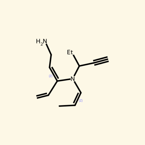 C#CC(CC)N(/C=C\C)/C(C=C)=C\CN